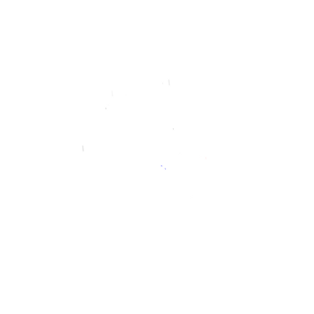 CC(=O)N(CC(C=C(C)C)=C(C)C)Cc1ccccc1